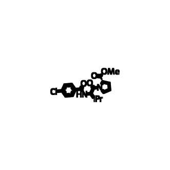 COC(=O)[C@@H]1CCCN1C(=O)C(NC(=O)c1ccc(Cl)cc1)C(C)C